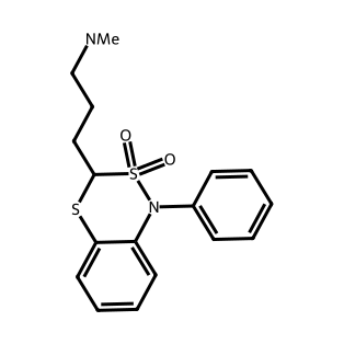 CNCCCC1Sc2ccccc2N(c2ccccc2)S1(=O)=O